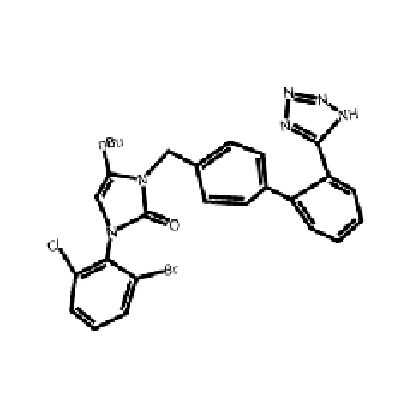 CCCCc1cn(-c2c(Cl)cccc2Br)c(=O)n1Cc1ccc(-c2ccccc2-c2nnn[nH]2)cc1